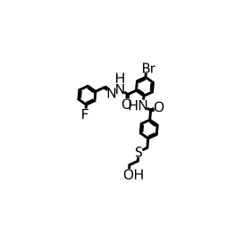 O=C(Nc1ccc(Br)cc1C(=O)NN=Cc1cccc(F)c1)c1ccc(CSCCO)cc1